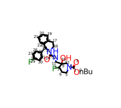 CCCCOC(=O)N1CCC(F)C(O)(CNC(=O)N2CCc3ccccc3[C@@H]2c2ccc(F)cc2)C1